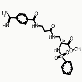 COC(=O)[C@H](CNC(=O)CCNC(=O)c1ccc(C(=N)N)cc1)NS(=O)(=O)c1ccccc1